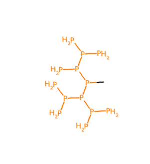 CP(P(P)P(P)P)P(P(P)P)P(P)P